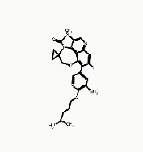 CN(C)CCCOc1ncc(-c2c(F)cc3ncc4c5c3c2OCC2(CC2)n5c(=O)n4C)cc1N